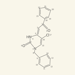 O=C(C=C1NC(=O)N(Cc2ccccc2)C=C1Cl)c1ccccc1